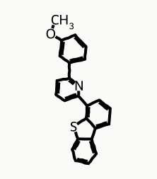 COc1cccc(-c2cccc(-c3cccc4c3sc3ccccc34)n2)c1